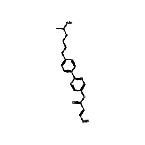 CCCCCCCCCC=CC(=O)Oc1cnc(-c2ccc(CCCCC(C)OC(C)=O)cc2)nc1